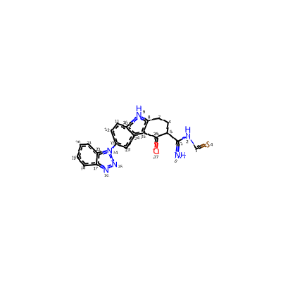 N=C(NC=S)C1CCc2[nH]c3ccc(-n4nnc5ccccc54)cc3c2C1=O